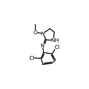 CON1CCN/C1=N\c1c(Cl)cccc1Cl